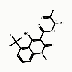 CC(=O)[C@H](C)NC(=O)c1c(O)c2c(C(F)(F)F)cccc2n(C)c1=O